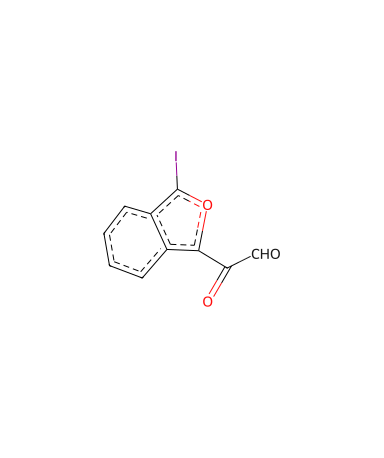 O=CC(=O)c1oc(I)c2ccccc12